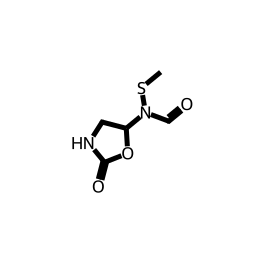 CSN(C=O)C1CNC(=O)O1